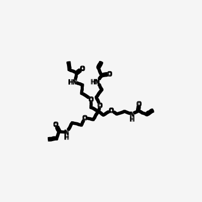 C=CC(=O)NCCOCC(COCCNC(=O)C=C)(COCCNC(=O)C=C)OCCNC(=O)C=C